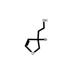 OCCC1(Br)C=COC1